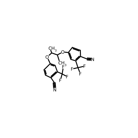 CC(Oc1ccc(C#N)c(C(F)(F)F)c1)C(C)Oc1ccc(C#N)c(C(F)(F)F)c1